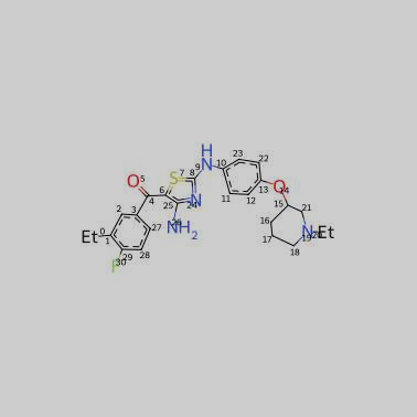 CCc1cc(C(=O)c2sc(Nc3ccc(OC4CCCN(CC)C4)cc3)nc2N)ccc1F